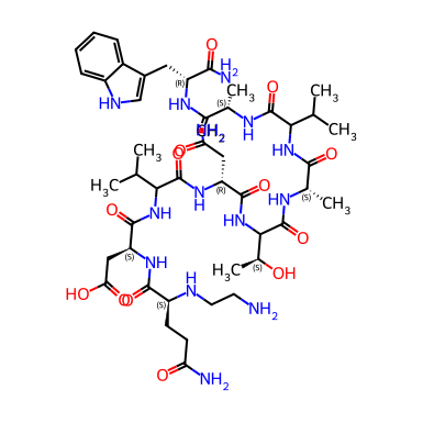 C=C(N[C@H](Cc1c[nH]c2ccccc12)C(N)=O)[C@H](C)NC(=O)C(NC(=O)[C@H](C)NC(=O)C(NC(=O)[C@@H](CC(N)=O)NC(=O)C(NC(=O)[C@H](CC(=O)O)NC(=O)[C@H](CCC(N)=O)NCCN)C(C)C)[C@H](C)O)C(C)C